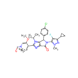 C/C=C(\C(=C/N(C)C=O)OC)c1nc2c(n1C(C)C)C(c1ccc(Cl)cc1)N(c1c(F)c(C3CC3)nn1C)C2=O